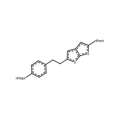 CCCCCCCc1ccc(CCc2cc3cc(CCCCC)sc3s2)cc1